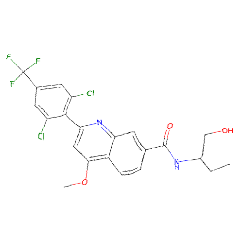 CCC(CO)NC(=O)c1ccc2c(OC)cc(-c3c(Cl)cc(C(F)(F)F)cc3Cl)nc2c1